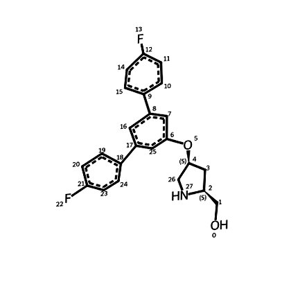 OC[C@@H]1C[C@H](Oc2cc(-c3ccc(F)cc3)cc(-c3ccc(F)cc3)c2)CN1